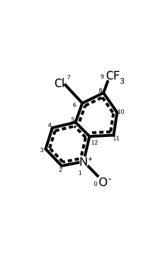 [O-][n+]1cccc2c(Cl)c(C(F)(F)F)ccc21